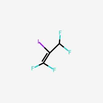 FC(F)=C(I)C(F)F